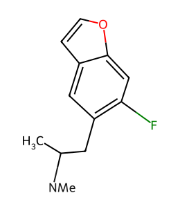 CNC(C)Cc1cc2ccoc2cc1F